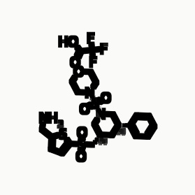 NCc1ccc(S(=O)(=O)C[C@H]2C[C@@H](c3ccccc3)CN(S(=O)(=O)N3CCOCC3)C2)s1.O=C(O)C(F)(F)F